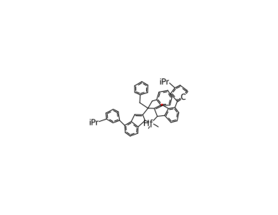 CC(C)c1cccc(-c2cccc3c2C=C2[CH]3[Hf]([CH3])([CH3])[CH]3C(=Cc4c(-c5cccc(C(C)C)c5)cccc43)C2(Cc2ccccc2)Cc2ccccc2)c1